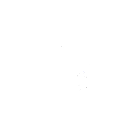 CCCCCCCC/C=C\CCCCCCCCCCCCCC(=O)N[C@@H](CO[C@@H]1O[C@H](CO)[C@@H](O)C(O)C1O)[C@H](O)/C=C/CCCCCCCCC